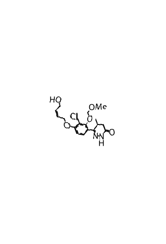 COCOc1c(C2=NNC(=O)CC2C)ccc(OC/C=C\CO)c1Cl